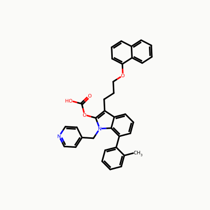 Cc1ccccc1-c1cccc2c(CCCOc3cccc4ccccc34)c(OC(=O)O)n(Cc3ccncc3)c12